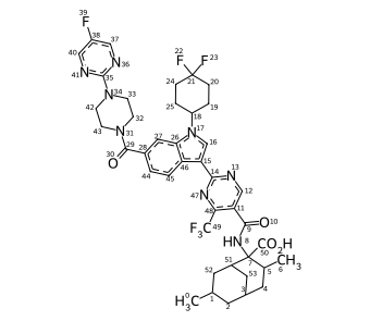 CC1CC2CC(C)C(NC(=O)c3cnc(-c4cn(C5CCC(F)(F)CC5)c5cc(C(=O)N6CCN(c7ncc(F)cn7)CC6)ccc45)nc3C(F)(F)F)(C(=O)O)C(C1)C2